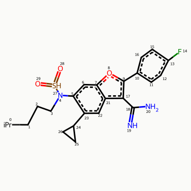 CC(C)CCCN(c1cc2oc(-c3ccc(F)cc3)c(C(=N)N)c2cc1C1CC1)[SH](=O)=O